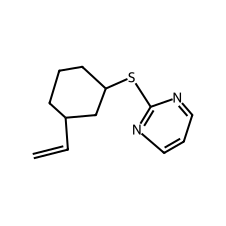 C=CC1CCCC(Sc2ncccn2)C1